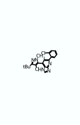 Cn1nc(C(C)(C)C)c(Cl)c1-c1cc(-c2ccccc2Cl)nc2nc[nH]c12